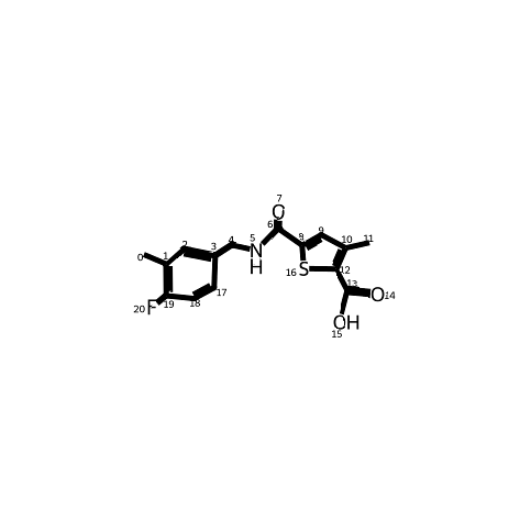 Cc1cc(CNC(=O)c2cc(C)c(C(=O)O)s2)ccc1F